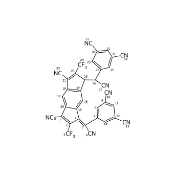 N#CC1=C(C(F)(F)F)/C(=C(\C#N)c2cc(C#N)cc(C#N)c2)c2cc3c(cc21)C(C#N)=C(C(F)(F)F)C3C(C#N)c1cc(C#N)cc(C#N)c1